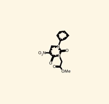 COC(=O)Cn1c(=O)c([N+](=O)[O-])cn(-c2ccccc2)c1=O